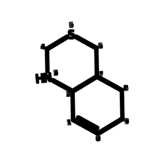 C1=CC2NCSCC2CC1